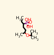 C=C(C)OC(C)CCC(CC)P(=O)(O)O